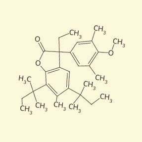 CCC(C)(C)c1cc2c(c(C(C)(C)CC)c1C)OC(=O)C2(CC)c1cc(C)c(OC)c(C)c1